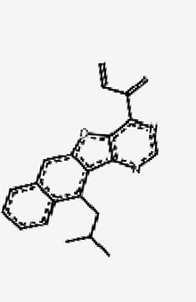 C=CC(=C)c1ncnc2c1oc1cc3ccccc3c(CC(C)C)c12